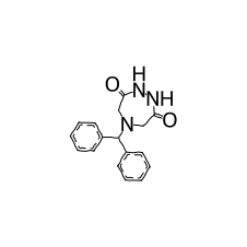 O=C1CN(C(c2ccccc2)c2ccccc2)CC(=O)NN1